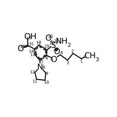 CCCCCOc1c(N2CCCC2)cc(C(=O)O)cc1S(N)(=O)=O